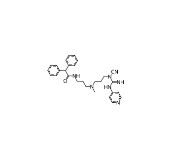 CN(CCCNC(=O)C(c1ccccc1)c1ccccc1)CCCN(C#N)C(=N)Nc1ccncc1